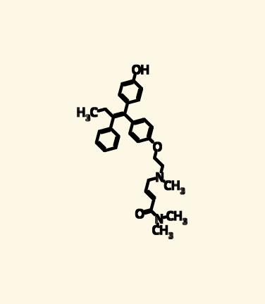 CC/C(=C(\c1ccc(O)cc1)c1ccc(OCCN(C)C/C=C/C(=O)N(C)C)cc1)c1ccccc1